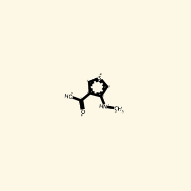 CNc1cscc1C(=O)O